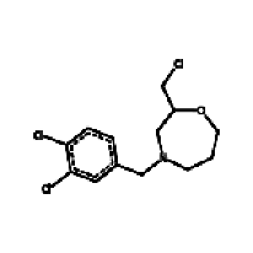 ClCC1CN(Cc2ccc(Cl)c(Cl)c2)CCCO1